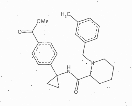 COC(=O)c1ccc(C2(NC(=O)C3CCCCN3Cc3cccc(C)c3)CC2)cc1